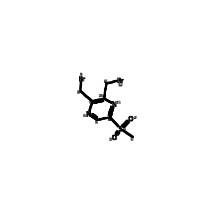 CS(=O)(=O)c1cnc(CBr)c(CBr)n1